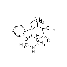 CCC1(c2ccccc2)C(=O)NC(=O)C(C)C1C.CNC